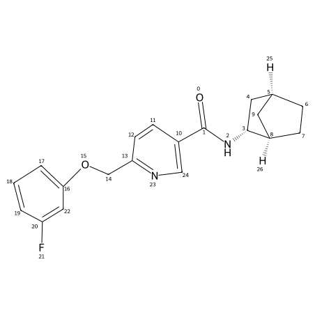 O=C(N[C@@H]1C[C@H]2CC[C@@H]1C2)c1ccc(COc2cccc(F)c2)nc1